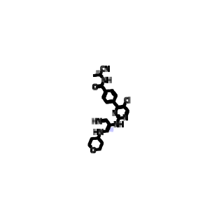 C[C@@H](C#N)NC(=O)c1ccc(-c2nc(N/C(C=N)=C/NC3CCOCC3)ncc2Cl)cc1